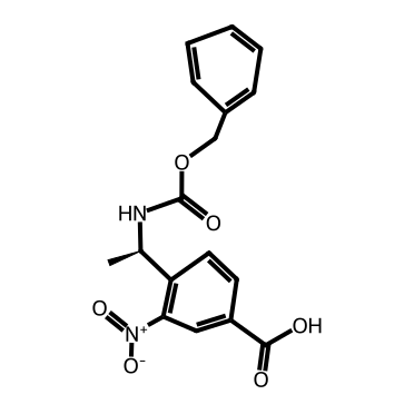 C[C@@H](NC(=O)OCc1ccccc1)c1ccc(C(=O)O)cc1[N+](=O)[O-]